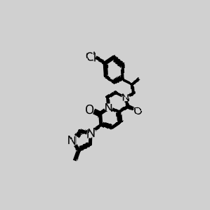 Cc1cn(-c2ccc3n(c2=O)CCN(CC(C)c2ccc(Cl)cc2)C3=O)cn1